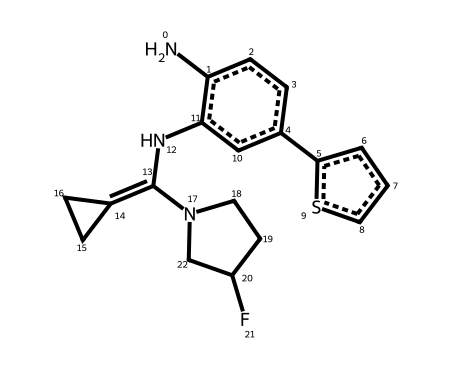 Nc1ccc(-c2cccs2)cc1NC(=C1CC1)N1CCC(F)C1